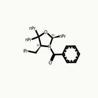 CCC[C@@H]1OC(CCC)(CCC)[C@H](CC(C)C)N1C(=O)c1ccccc1